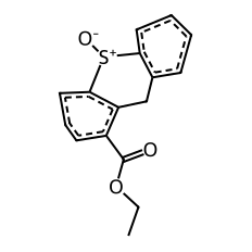 CCOC(=O)c1cccc2c1Cc1ccccc1[S+]2[O-]